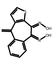 C=C1c2ccccc2C(=NO)C(=NO)c2sccc21